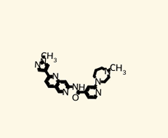 CN1CCCN(c2cc(C(=O)Nc3cc4nc(-c5cnn(C)c5)ccc4cn3)ccn2)CC1